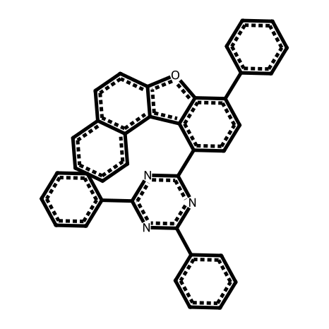 c1ccc(-c2nc(-c3ccccc3)nc(-c3ccc(-c4ccccc4)c4oc5ccc6ccccc6c5c34)n2)cc1